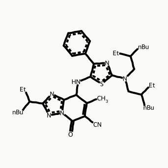 CCCCC(CC)CN(CC(CC)CCCC)c1nc(-c2ccccc2)c(NC2C(C)=C(C#N)C(=O)n3nc(C(CC)CCCC)nc32)s1